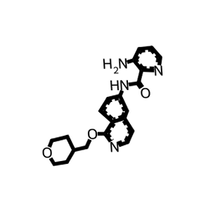 Nc1cccnc1C(=O)Nc1ccc2c(OCC3CCOCC3)nccc2c1